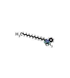 CCCCCCCCCCCCCCCCCC[N](c1ccccc1)[Ge]([CH3])([F])[F]